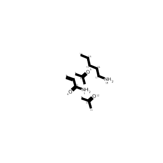 C=CC(N)=O.CC(C)=O.CC(C)=O.CCCCCN